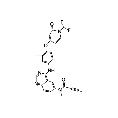 CC#CC(=O)N(C)c1ccc2ncnc(Nc3ccc(Oc4ccn(C(F)F)c(=O)c4)c(C)c3)c2c1